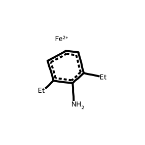 CCc1cccc(CC)c1N.[Fe+2]